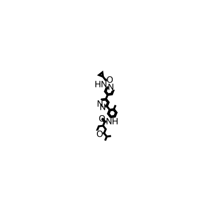 Cc1ccc(NC(=O)C2CCOC(C(C)C)C2)cc1-c1cc(-c2ccnc(NC(=O)C3CC3)c2)cnn1